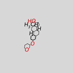 C[C@]12CC[C@@H]3c4ccc(OC5CCCOC5)cc4CC[C@H]3[C@@H]1CC[C@@H]2O